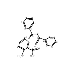 Nc1ccccc1C(=O)O.O=C(CC(=O)c1ccccc1)c1ccccc1